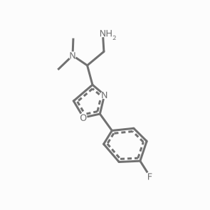 CN(C)C(CN)c1coc(-c2ccc(F)cc2)n1